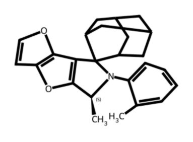 Cc1ccccc1N1[C@@H](C)c2oc3ccoc3c2C12C1CC3CC(C1)CC2C3